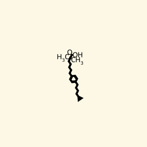 CC(C)(CCCCCc1ccc(CCCCC2CC2)cc1)C(=O)O